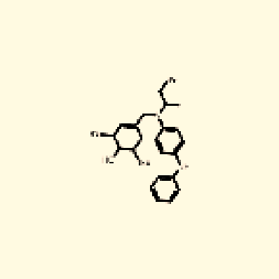 CC(C)CC(C)N(CC1=CC(C(C)(C)C)C(O)C(C(C)(C)C)C1)c1ccc(Nc2ccccc2)cc1